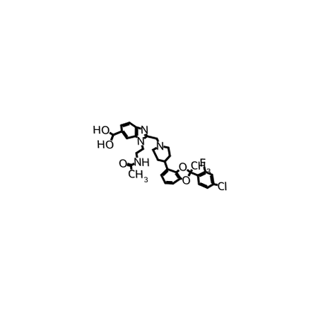 CC(=O)NCCn1c(CN2CCC(c3cccc4c3OC(C)(c3ccc(Cl)cc3F)O4)CC2)nc2ccc(C(O)O)cc21